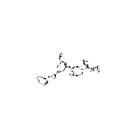 NC(=O)C1CCOC(c2cc(F)cc(OCc3ccccc3)c2)C1